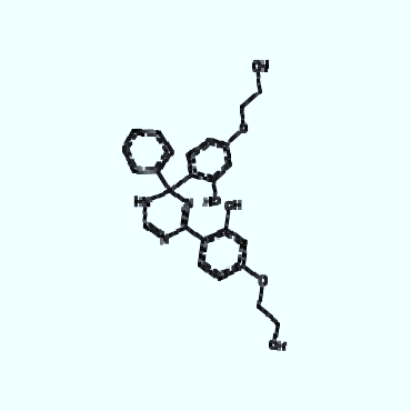 OCCOc1ccc(C2=NC(c3ccccc3)(c3ccc(OCCO)cc3O)NC=N2)c(O)c1